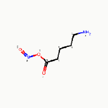 NCCCCC(=O)ON=O